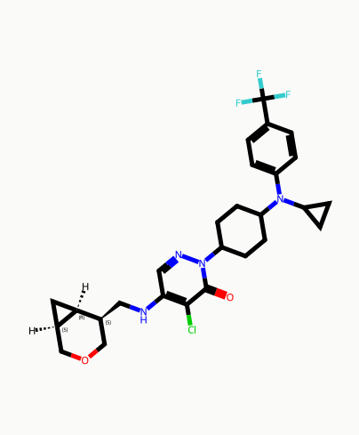 O=c1c(Cl)c(NC[C@H]2COC[C@H]3C[C@@H]23)cnn1C1CCC(N(c2ccc(C(F)(F)F)cc2)C2CC2)CC1